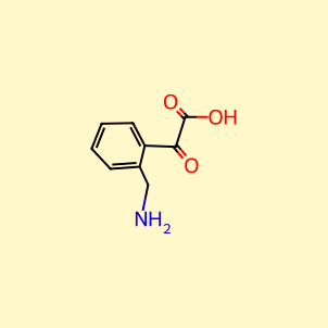 NCc1ccccc1C(=O)C(=O)O